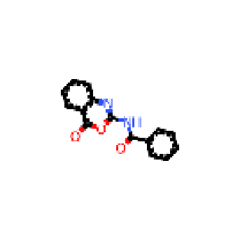 O=C(Nc1nc2ccccc2c(=O)o1)c1ccccc1